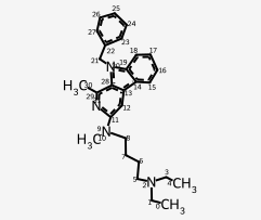 CCN(CC)CCCCN(C)c1cc2c3ccccc3n(Cc3ccccc3)c2c(C)n1